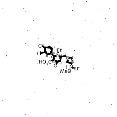 CCn1c(Cn2cnc([NH+]([O-])OC)c2)cc(=O)c(C(=O)O)c1-c1ccc(Cl)c(Cl)c1